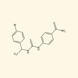 CC(NC(=S)Nc1ccc(C(N)=O)cc1)c1ccc(Br)cc1